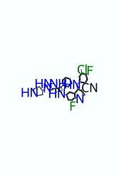 N#Cc1cnc2c(F)cc(N[C@H](C3=CN(C4CCNCC4)NN3)c3ccccc3)cc2c1Nc1ccc(F)c(Cl)c1